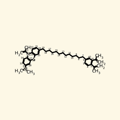 C=C(C)c1ccc(CCCCCCCCCCCCCc2ccc3c(c2)Sc2cc(N(C)C)ccc2N3C(=C)C)cc1C(=C)C